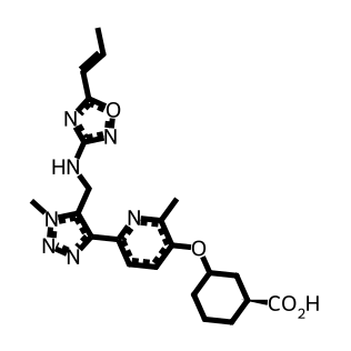 C/C=C/c1nc(NCc2c(-c3ccc(OC4CCC[C@H](C(=O)O)C4)c(C)n3)nnn2C)no1